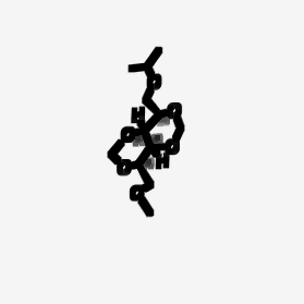 COC[C@H]1OCO[C@H]2[C@@H]1OCO[C@@H]2COC(C)C